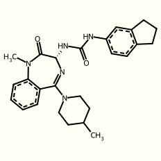 CC1CCN(C2=N[C@@H](NC(=O)Nc3ccc4c(c3)CCC4)C(=O)N(C)c3ccccc32)CC1